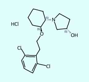 Cl.O[C@H]1CCN([C@H]2CCCC[C@@H]2OCCc2c(Cl)cccc2Cl)C1